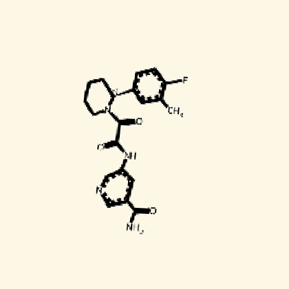 Cc1cc([C@@H]2CCCCN2C(=O)C(=O)Nc2cncc(C(N)=O)c2)ccc1F